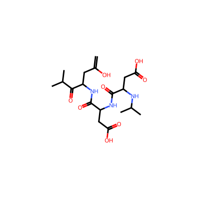 C=C(O)CC(NC(=O)C(CC(=O)O)NC(=O)C(CC(=O)O)NC(C)C)C(=O)C(C)C